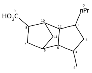 CCCC1CC(C)C2C3CC(C(=O)O)C(C3)C12